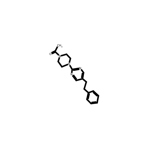 CC(=O)N1CCN(c2ncc(CCc3c[c]ccc3)cn2)CC1